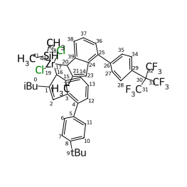 CCC(C)C1=Cc2c(-c3ccc(C(C)(C)C)cc3)cccc2[CH]1[Zr]([Cl])([Cl])([CH]1C(C)=Cc2c(-c3ccc(C(C(F)(F)F)(C(F)(F)F)C(F)(F)F)cc3)cccc21)[SiH](C)C